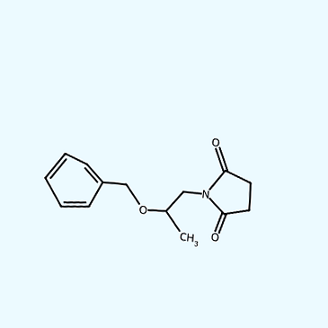 CC(CN1C(=O)CCC1=O)OCc1ccccc1